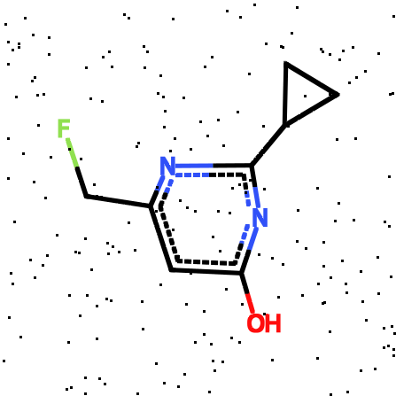 Oc1cc(CF)nc(C2CC2)n1